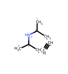 C#C.CC(C)NC(C)C